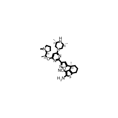 C[C@@H]1CN(c2cc(O[C@@H](C)[C@@H]3CCCN3C)nc(-c3cc([C@@]4(C)CCCc5sc(N)c(C#N)c54)on3)n2)C[C@H](C)N1